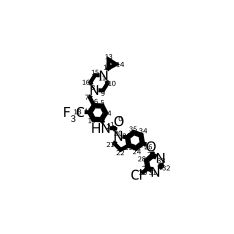 O=C(Nc1ccc(CN2CCN(C3CC3)CC2)c(C(F)(F)F)c1)N1CCc2cc(Oc3cc(Cl)ncn3)ccc21